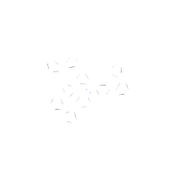 CC1(C)c2ccccc2-c2c(-c3ccc(N(c4ccc(-c5cccc6c5oc5ccccc56)cc4)c4ccc5c(c4)C(c4ccccc4)(c4ccccc4)c4ccccc4-5)cc3)cccc21